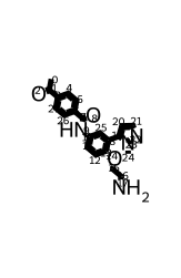 CC(=O)c1ccc(C(=O)Nc2ccc(OCCN)c(-c3ccnn3C)c2)cc1